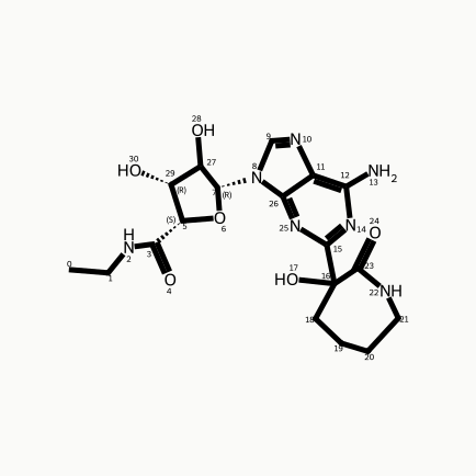 CCNC(=O)[C@H]1O[C@@H](n2cnc3c(N)nc(C4(O)CCCCNC4=O)nc32)C(O)[C@H]1O